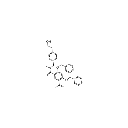 C=C(C)c1cc(C(=O)N(C)Cc2ccc(CCO)cc2)c(OCc2ccccc2)cc1OCc1ccccc1